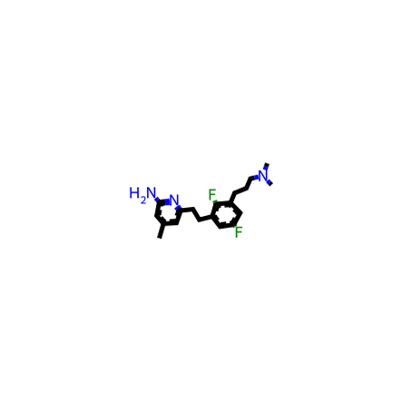 Cc1cc(N)nc(CCc2cc(F)cc(CCCN(C)C)c2F)c1